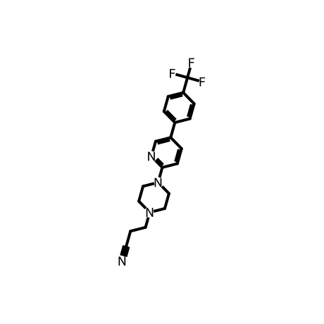 N#CCCN1CCN(c2ccc(-c3ccc(C(F)(F)F)cc3)cn2)CC1